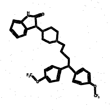 O=c1[nH]c2ccccc2n1C1CCN(CCCC(c2ccc(OC(F)(F)F)cc2)c2ccc(OC(F)(F)F)cc2)CC1